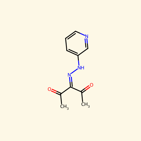 CC(=O)C(=NNc1cccnc1)C(C)=O